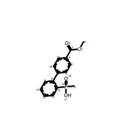 COC(=O)c1ccc(-c2ccccc2P(C)(=O)O)cc1